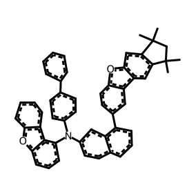 CC1(C)CC(C)(C)c2cc3c(cc21)oc1ccc(-c2cccc4ccc(N(c5ccc(-c6ccccc6)cc5)c5cccc6oc7ccccc7c56)cc24)cc13